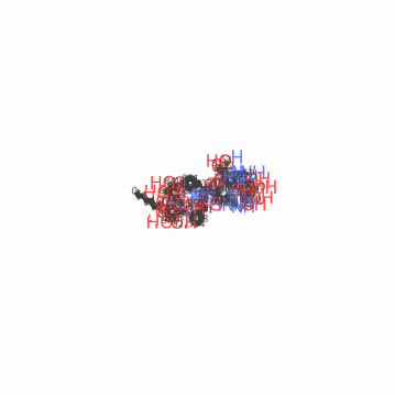 CCCCCCC(=O)OC1C(OC2C(CO)OC(Oc3ccc(C[C@H](NC(=O)[C@@H](N)C(C)c4ccccc4)C(=O)N[C@H](C(=O)N[C@H](C(=O)N[C@H]([C]=O)CO)C(O)C4CNC(=N)N4C4OC(CO)C(O)C(O)C4O)C(O)C4CNC(=N)N4)cc3)C(O)C2O)OC(CO)C(O)C1O